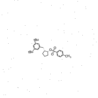 Cc1ccc(S(=O)(=O)O[C@@H]2CCC[C@@H]2Cc2cc(C(C)(C)C)cc(C(C)(C)C)c2)cc1